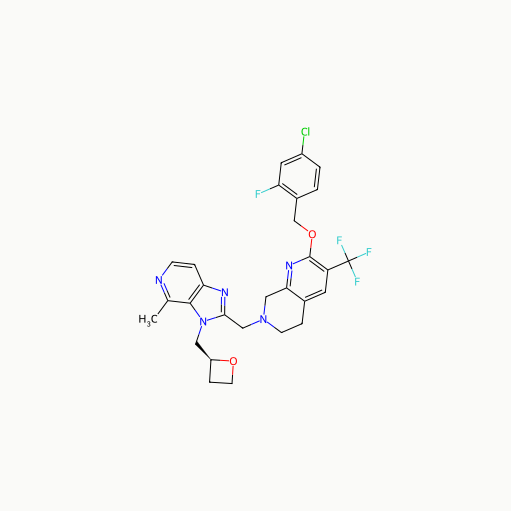 Cc1nccc2nc(CN3CCc4cc(C(F)(F)F)c(OCc5ccc(Cl)cc5F)nc4C3)n(C[C@@H]3CCO3)c12